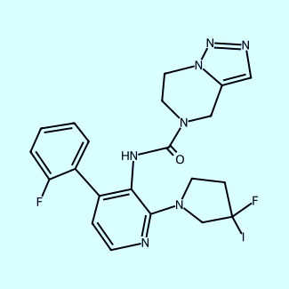 O=C(Nc1c(-c2ccccc2F)ccnc1N1CCC(F)(I)C1)N1CCn2nncc2C1